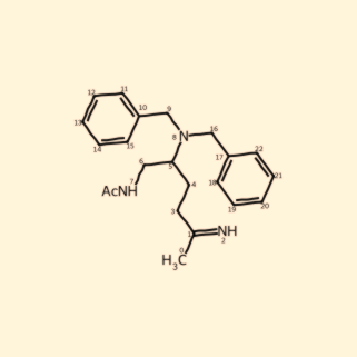 CC(=N)CCC(CNC(C)=O)N(Cc1ccccc1)Cc1ccccc1